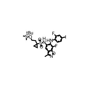 Cc1noc2c(F)c(Nc3ccc(I)cc3F)c(NS(=O)(=O)C3(CCO[Si](C)(C)C(C)(C)C)CC3)cc12